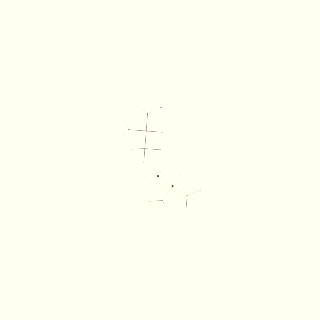 CC(C(F)F)(C(F)F)C(F)(F)OC(F)(F)C(C)(C(F)F)C(F)F